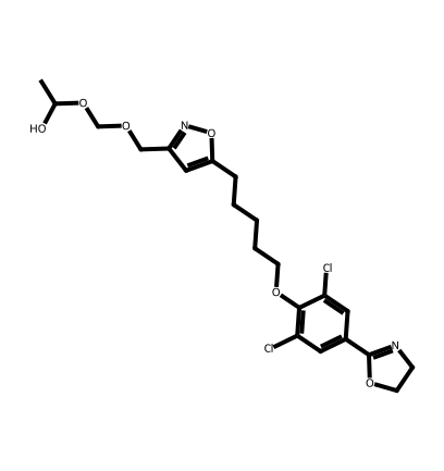 CC(O)OCOCc1cc(CCCCCOc2c(Cl)cc(C3=NCCO3)cc2Cl)on1